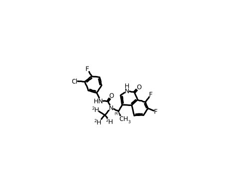 [2H]C([2H])([2H])N(C(=O)Nc1ccc(F)c(Cl)c1)[C@H](C)c1c[nH]c(=O)c2c(F)c(F)ccc12